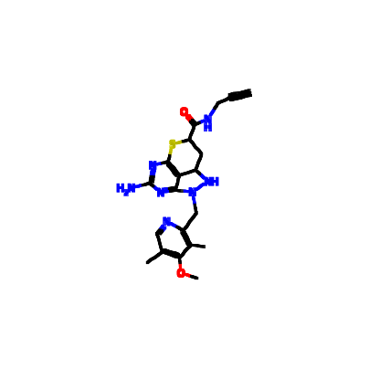 C#CCNC(=O)C1CC2NN(Cc3ncc(C)c(OC)c3C)c3nc(N)nc(c32)S1